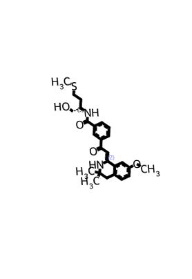 COc1ccc2c(c1)/C(=C/C(=O)c1cccc(C(=O)N[C@H](CO)CCSC)c1)NC(C)(C)C2